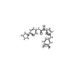 O=C(Cc1ccc(N2CCCC2)nc1)Nc1ccn(Cc2ccc(F)c(F)c2)n1